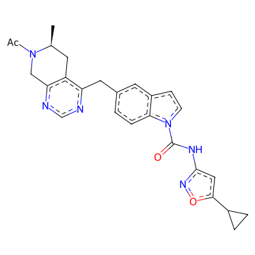 CC(=O)N1Cc2ncnc(Cc3ccc4c(ccn4C(=O)Nc4cc(C5CC5)on4)c3)c2C[C@@H]1C